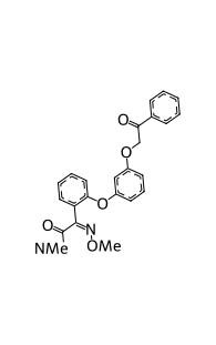 CNC(=O)C(=NOC)c1ccccc1Oc1cccc(OCC(=O)c2ccccc2)c1